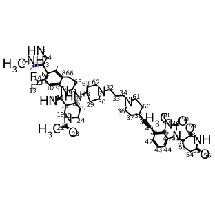 CN/C=C(\C=N)c1cc2c(cc1C(F)F)N(C(=N)C1CN(C(C)=O)CCC1NC1CCN(CCCN3CCC(C#Cc4cccc5c4n(C)c(=O)n5C4CCC(=O)NC4=O)CC3)CC1)CCC2